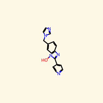 On1c(-c2ccncc2)nc2ccc(Cn3ccnc3)cc21